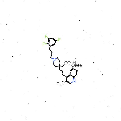 COc1ccc2ncc(C)c(CCCC3(CC(=O)O)CCN(CCCc4cc(F)cc(F)c4F)CC3)c2c1